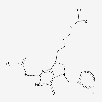 CC(=O)Nc1nc2c(c(=O)[nH]1)N(Cc1ccccc1)CN2CCCCOC(C)=O.I